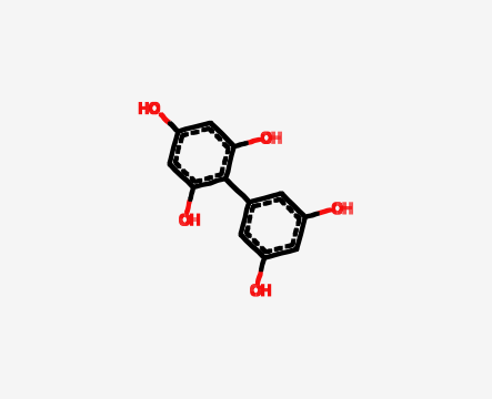 Oc1cc(O)cc(-c2c(O)cc(O)cc2O)c1